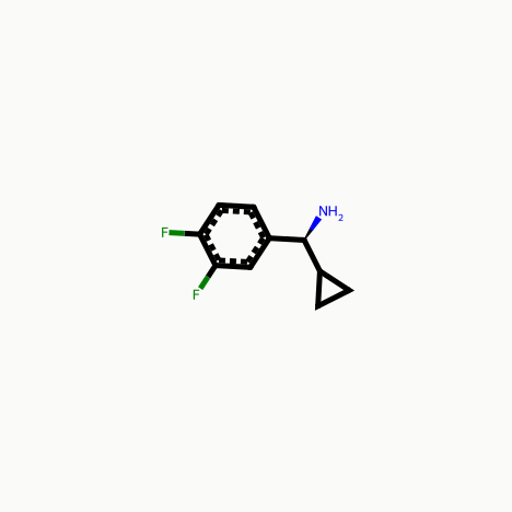 N[C@H](c1ccc(F)c(F)c1)C1CC1